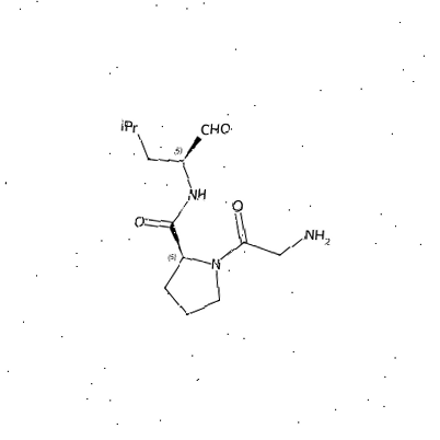 CC(C)C[C@@H]([C]=O)NC(=O)[C@@H]1CCCN1C(=O)CN